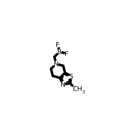 Cc1nc2c(s1)CN(CB(F)F)CC2